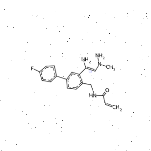 C=CC(=O)NCc1ccc(-c2ccc(F)cc2)cc1/C(N)=C/N(C)N